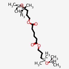 C[SiH](C)O[Si](C)(C)CCCOC(=O)CCCCC(=O)OCCC[Si](C)(C)O[SiH](C)C